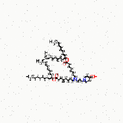 CCCCCCCCC(CCCCCCCC)OC(=O)CCCCCCCN(CCCCCCCC(=O)OC(CCCCCCCC)CCCCCCCC)CCCN1CCC(O)CC1